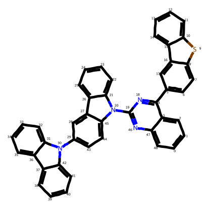 c1ccc2c(-c3ccc4sc5ccccc5c4c3)nc(-n3c4ccccc4c4cc(-n5c6ccccc6c6ccccc65)ccc43)nc2c1